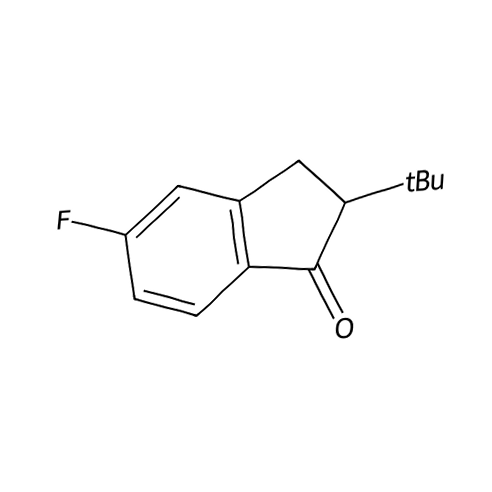 CC(C)(C)C1Cc2cc(F)ccc2C1=O